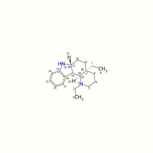 CCN1CCC[C@]2(CC)CC[C@H]3Nc4ccccc4C3[C@H]12